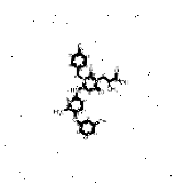 Cc1nc(Nc2cc(=O)n(C[C@H](C)C(=O)O)c(=O)n2Cc2ccc(Cl)cc2)ccc1Oc1cccc(F)c1